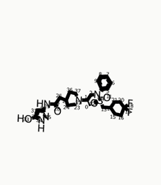 C[C@H](CN(c1ccccc1)S(=O)(=O)CC1CCC(F)(F)CC1)N1CCC(CC(=O)Nc2cc(O)[nH]n2)CC1